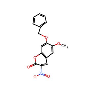 COc1cc2cc([N+](=O)[O-])c(=O)oc2cc1OCc1ccccc1